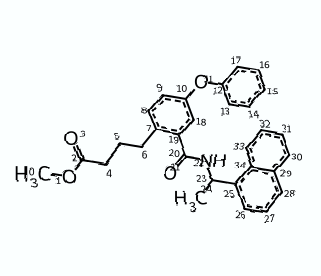 COC(=O)CCCc1ccc(Oc2ccccc2)cc1C(=O)NC(C)c1cccc2ccccc12